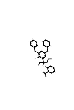 CCCC(CC)(Pc1ccccc1C(C)=O)c1cc(Cc2ccccc2)cc(Cc2ccccc2)c1O